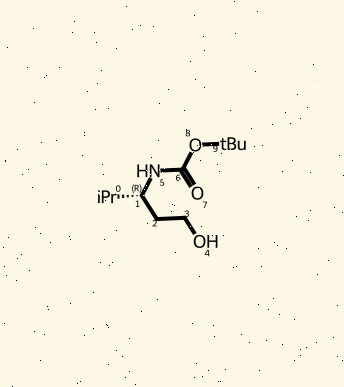 CC(C)[C@@H](CCO)NC(=O)OC(C)(C)C